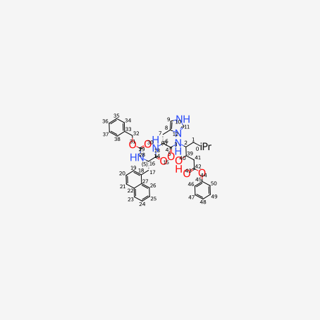 CC(C)CC(NC(=O)[C@@H](Cc1c[nH]cn1)NC(=O)[C@H](Cc1cccc2ccccc12)NC(=O)OCc1ccccc1)C(O)CC(=O)Oc1ccccc1